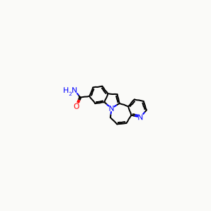 NC(=O)c1ccc2cc3n(c2c1)CC=Cc1ncccc1-3